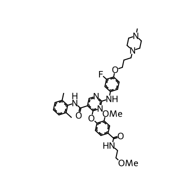 COCCNC(=O)c1ccc(Oc2nc(Nc3ccc(OCCCN4CCN(C)CC4)c(F)c3)ncc2C(=O)Nc2c(C)cccc2C)c(OC)c1